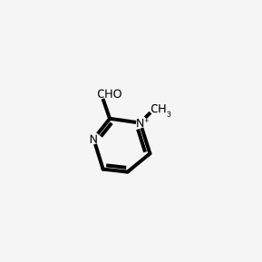 C[n+]1cccnc1C=O